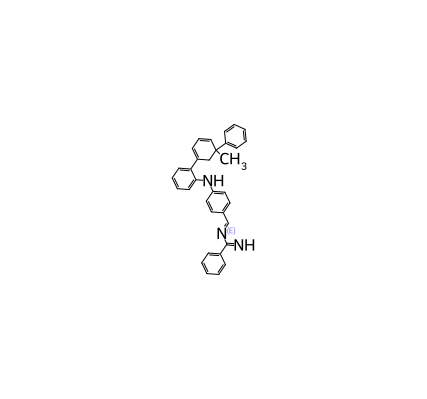 CC1(c2ccccc2)C=CC=C(c2ccccc2Nc2ccc(/C=N/C(=N)c3ccccc3)cc2)C1